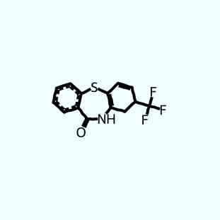 O=C1NC2=C(C=CC(C(F)(F)F)C2)Sc2ccccc21